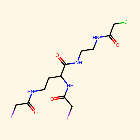 O=C(CCl)NCCNC(=O)C(CCNC(=O)CI)NC(=O)CI